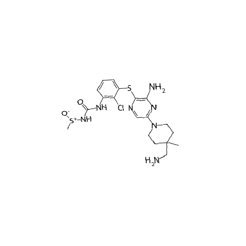 C[S+]([O-])NC(=O)Nc1cccc(Sc2ncc(N3CCC(C)(CN)CC3)nc2N)c1Cl